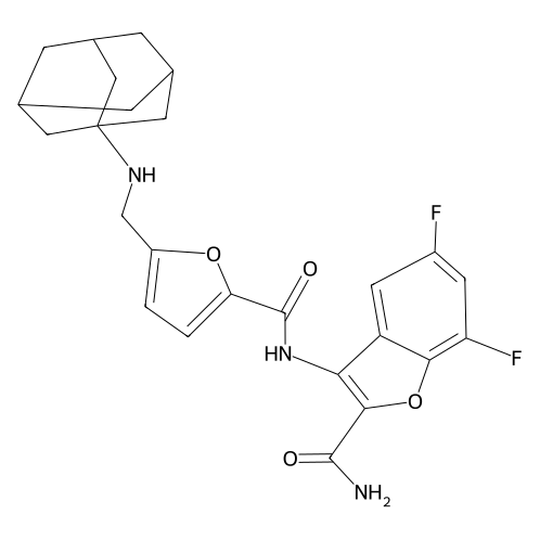 NC(=O)c1oc2c(F)cc(F)cc2c1NC(=O)c1ccc(CNC23CC4CC(CC(C4)C2)C3)o1